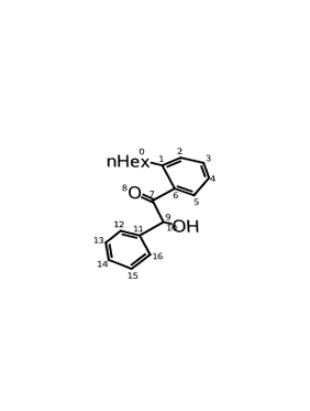 CCCCCCc1ccccc1C(=O)C(O)c1ccccc1